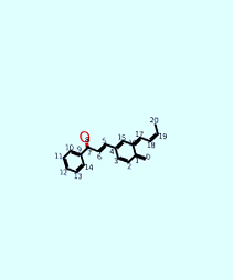 C=c1ccc(/C=C/C(=O)c2ccccc2)c/c1=C/C=C\C